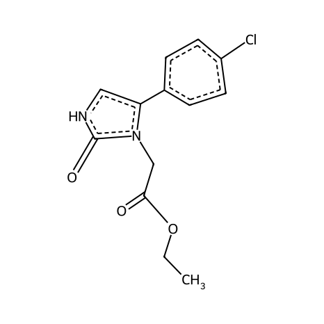 CCOC(=O)Cn1c(-c2ccc(Cl)cc2)c[nH]c1=O